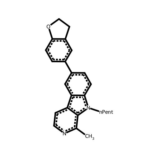 CCCCCn1c2ccc(-c3ccc4c(c3)CCO4)cc2c2ccnc(C)c21